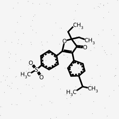 CCC1(CC)OC(c2ccc(S(C)(=O)=O)cc2)=C(c2ccc(C(C)C)cc2)C1=O